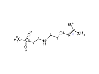 CC/C(C)=N\OCCNCCS(C)(=O)=O